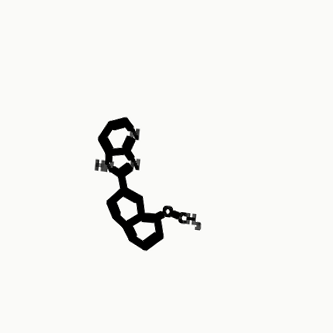 COc1cccc2ccc(-c3nc4ncccc4[nH]3)cc12